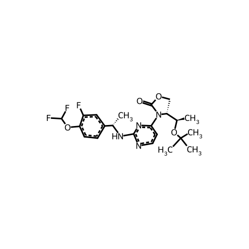 C[C@H](Nc1nccc(N2C(=O)OC[C@@H]2[C@@H](C)OC(C)(C)C)n1)c1ccc(OC(F)F)c(F)c1